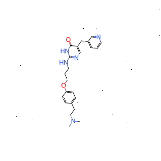 CN(C)CCc1ccc(OCCCNc2ncc(Cc3cccnc3)c(=O)[nH]2)cc1